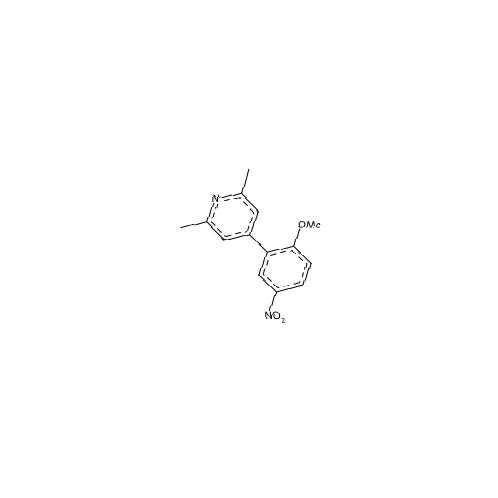 COc1ccc([N+](=O)[O-])cc1-c1cc(C)nc(C)c1